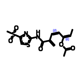 C=C(/C=C\C(=C/C)OC(C)=O)C(=O)Nc1nc(S(C)(=O)=O)cs1